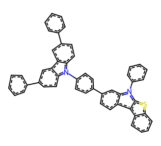 c1ccc(-c2ccc3c(c2)c2cc(-c4ccccc4)ccc2n3-c2ccc(-c3ccc4c5c6ccccc6sc5n(-c5ccccc5)c4c3)cc2)cc1